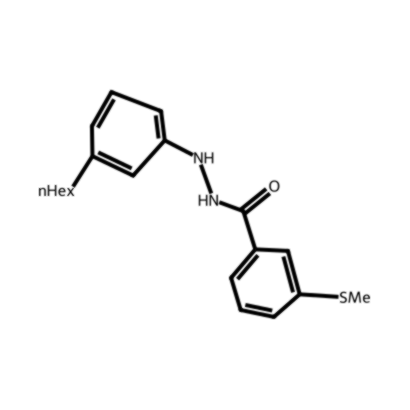 CCCCCCc1cccc(NNC(=O)c2cccc(SC)c2)c1